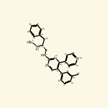 CCCCN[C@H](CNc1ncc(-c2cccc(C)c2)c(-c2ccncc2)n1)Cc1ccccc1